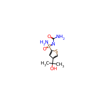 CC(C)(O)c1csc(S(N)(=O)=NC(N)=O)c1